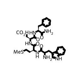 CSCC[C@H](NC(=O)C(N)Cc1c[nH]c2ccccc12)C(=O)N[C@@H](CC(=O)O)C(=O)N[C@@H](Cc1ccccc1)C(N)=O